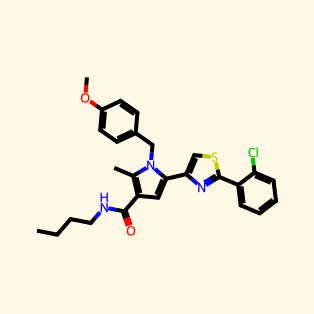 CCCCNC(=O)c1cc(-c2csc(-c3ccccc3Cl)n2)n(Cc2ccc(OC)cc2)c1C